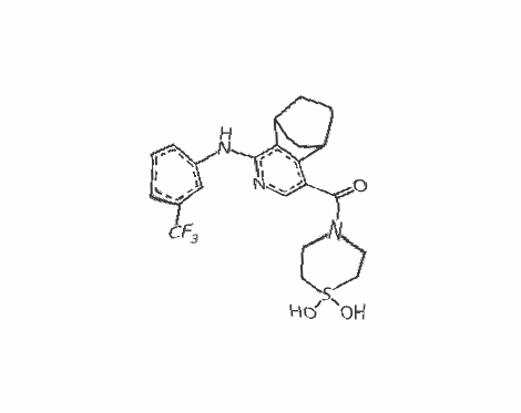 O=C(c1cnc(Nc2cccc(C(F)(F)F)c2)c2c1C1CCC2CC1)N1CCS(O)(O)CC1